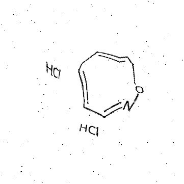 C1=CC=NOC=C1.Cl.Cl